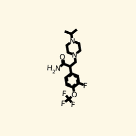 CC(C)N1CCN(CC(C(N)=O)c2ccc(OC(F)(F)F)c(F)c2)CC1